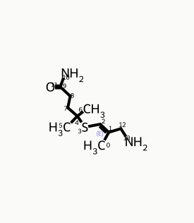 C/C(=C\SC(C)(C)CCC(N)=O)CN